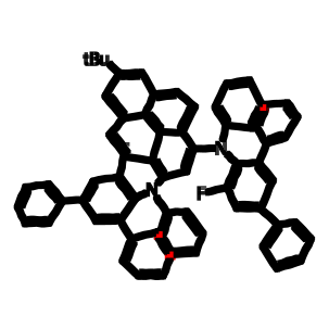 CC(C)(C)c1cc2ccc3c(N(c4ccccc4)c4c(F)cc(-c5ccccc5)cc4-c4ccccc4)cc(N(c4ccccc4)c4c(F)cc(-c5ccccc5)cc4-c4ccccc4)c4ccc(c1)c2c34